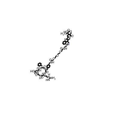 CC[C@@]1(O)C(=O)OCc2c1cc1n(c2=O)Cc2c-1nc1ccccc1c2/C=N\OCCNC(=O)COCCOCCOCC(=O)NCc1ccc(C[C@@H]2NC(=O)[C@@H](Cc3ccccc3)NC(=O)[C@H](CC(=O)O)NC(=O)CNC(=O)[C@H](CCCNC(=N)N)NC2=O)cc1